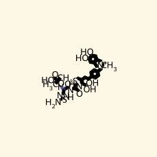 CC(C)(O/N=C(\C(=O)N[C@@H]1C(=O)N2C(C(O)O)=C(CCc3ccc(C[N+]4(C)Cc5cc(O)c(O)cc5C4)cc3)CS[C@H]12)c1nsc(N)n1)C(=O)O